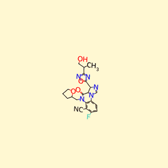 CC(CO)c1noc(C2N=CN3c4ccc(F)c(C#N)c4N(CC4CCCO4)C(=O)C23)n1